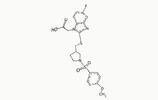 COc1ccc(S(=O)(=O)N2CCC(CSc3nc4cc(F)ccc4n3CC(=O)O)C2)cc1